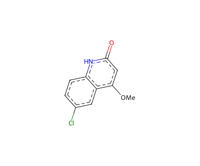 COc1cc(=O)[nH]c2ccc(Cl)cc12